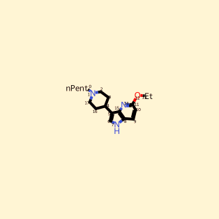 CCCCCN1CCC(c2c[nH]c3ccc(OCC)nc23)CC1